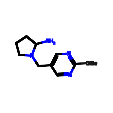 COc1ncc(CN2CCCC2N)cn1